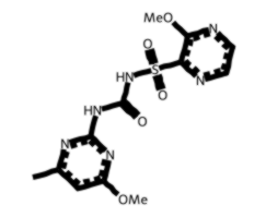 COc1cc(C)nc(NC(=O)NS(=O)(=O)c2nccnc2OC)n1